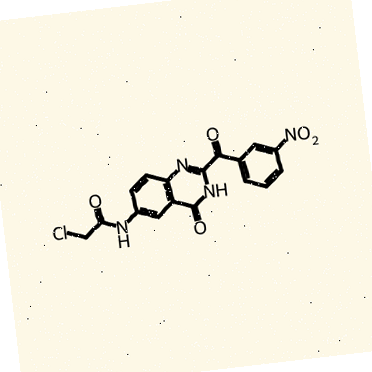 O=C(CCl)Nc1ccc2nc(C(=O)c3cccc([N+](=O)[O-])c3)[nH]c(=O)c2c1